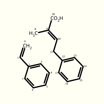 C=Cc1ccccc1.CC(=CCc1ccccc1)C(=O)O